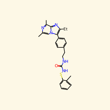 CCc1nc2c(C)nc(C)cn2c1-c1ccc(CCNC(=O)NSc2ccccc2C)cc1